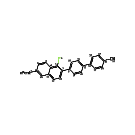 CCCCCc1ccc2c(F)c(-c3ccc(-c4ccc(C#N)cc4)cc3)ccc2c1